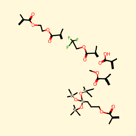 C=C(C)C(=O)O.C=C(C)C(=O)OC.C=C(C)C(=O)OCC(F)(F)F.C=C(C)C(=O)OCCC[Si](O[Si](C)(C)C)(O[Si](C)(C)C)O[Si](C)(C)C.C=C(C)C(=O)OCCOC(=O)C(=C)C